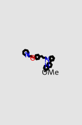 COc1ccc2c(c1)CCC(c1ccccc1NCCCc1ccc(OCCN3CCCCCC3)cc1)C2